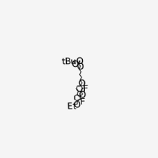 CCOc1ccc2c(oc3c(F)c(OCCCCCOC(=O)OC(C)(C)C)ccc32)c1F